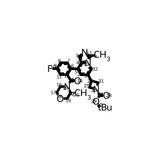 Cc1ncc2c(-c3ccc(F)cc3C(=O)N3CCOC[C@H]3C)cc(C3CN(C(=O)OC(C)(C)C)C3)cn12